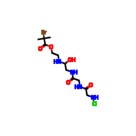 CC(C)(Br)C(=O)OCCNC(O)CNC(=O)CNC(=O)CNCl